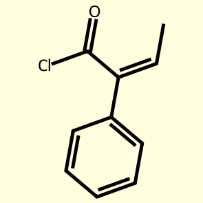 CC=C(C(=O)Cl)c1ccccc1